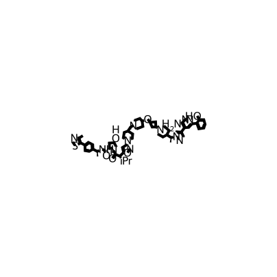 Cc1ncsc1-c1ccc([C@H](C)NC(=O)[C@@H]2C[C@@H](O)CN2C(=O)[C@@H](c2cc(N3CCC(CN4CCC(OC5CC(N6CCC([C@H](C)n7cc(-c8cc(-c9ccccc9O)nnc8N)cn7)CC6)C5)CC4)CC3)no2)C(C)C)cc1